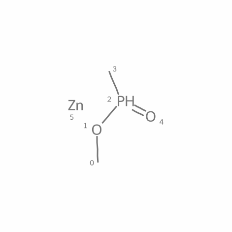 CO[PH](C)=O.[Zn]